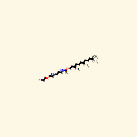 CC(C)=CCC/C(C)=C/CC/C(C)=C/COC(=S)NCCCNCCOCCI